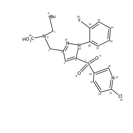 CC(C)(C)CN(Cc1cc(S(=O)(=O)c2ccc(Cl)nc2)n(-c2ccccc2F)n1)C(=O)O